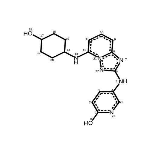 Oc1ccc(Nc2nc3cccc(NC4CCC(O)CC4)n3n2)cn1